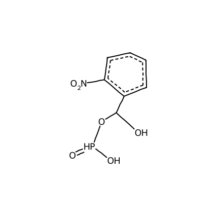 O=[N+]([O-])c1ccccc1C(O)O[PH](=O)O